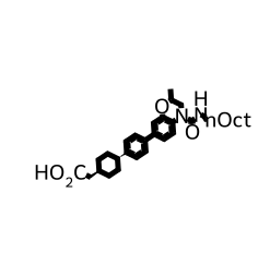 CCCCCCCCNC(=O)N1CC(C)Oc2cc(-c3ccc([C@H]4CC[C@H](CC(=O)O)CC4)cc3)ccc21